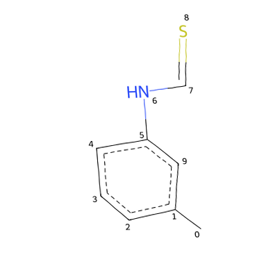 Cc1cccc(NC=S)c1